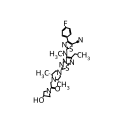 CCc1nc2sc(N3C[C@@H](C)N(CC(=O)N4CC(O)C4)[C@@H](C)C3)nn2c1N(C)c1nc(-c2ccc(F)cc2)c(C#N)s1